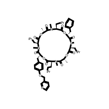 CC(C)CC[C@H]1C(=O)O[C@H](Cc2ccc(OCc3cccnc3)cc2)C(=O)N(C)[C@@H](CC(C)C)C(=O)O[C@H](C)C(=O)N(C)[C@@H](CC(C)C)C(=O)O[C@H](Cc2ccccc2)C(=O)N(C)[C@@H](CC(C)C)C(=O)O[C@H](C)C(=O)N1C